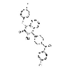 N#Cc1c(N2CCN(C(=O)c3ccc(Cl)cc3)CC2)c2ccccc2n(Cc2ccc(F)cc2)c1=O